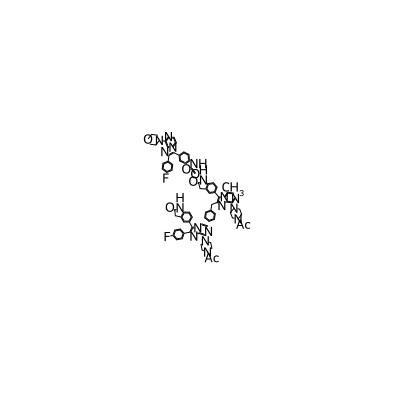 CC(=O)N1CCN(c2ncc(C)n3c(-c4ccc5c(c4)CC(=O)N5)c(Cc4ccccc4)nc23)CC1.CC(=O)N1CCN(c2nccn3c(-c4ccc5c(c4)CC(=O)N5)c(-c4ccc(F)cc4)nc23)CC1.O=c1[nH]c2ccc(-c3c(-c4ccc(F)cc4)nc4c(N5CCOCC5)nccn34)cc2o1